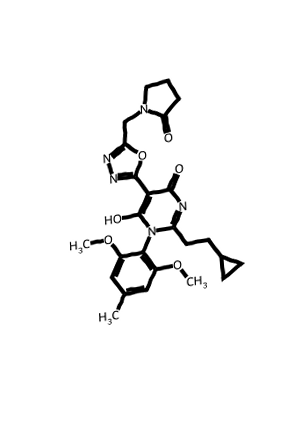 COc1cc(C)cc(OC)c1-n1c(CCC2CC2)nc(=O)c(-c2nnc(CN3CCCC3=O)o2)c1O